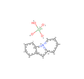 [O-][Cl+3]([O-])([O-])O.c1ccc2c(c1)cc1ccccn12